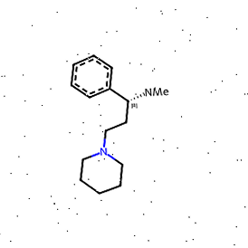 CN[C@H](CCN1CCCCC1)c1ccccc1